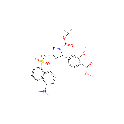 COC(=O)c1ccc([C@@H]2C[C@H](NS(=O)(=O)c3cccc4c(N(C)C)cccc34)CN2C(=O)OC(C)(C)C)cc1OC